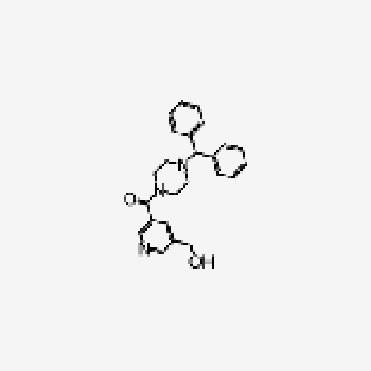 O=C(c1cncc(CO)c1)N1CCN(C(c2ccccc2)c2ccccc2)CC1